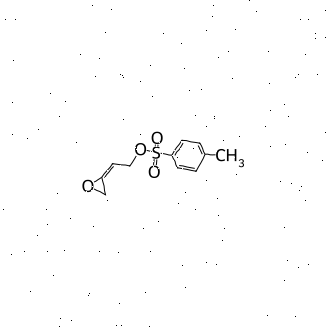 Cc1ccc(S(=O)(=O)OCC=C2CO2)cc1